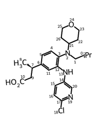 CC(C)CN(c1ccc([C@H](C)CC(=O)O)cc1Nc1ccc(Cl)nc1)C1CCOCC1